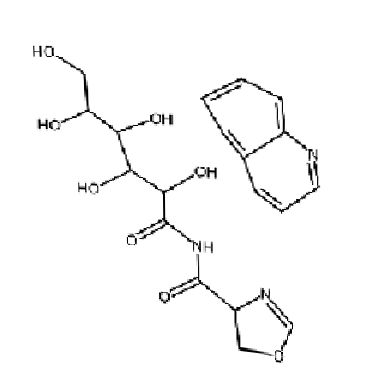 O=C(NC(=O)C(O)C(O)C(O)C(O)CO)C1COC=N1.c1ccc2ncccc2c1